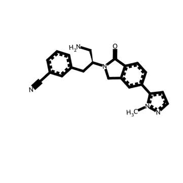 Cn1nccc1-c1ccc2c(c1)CN([C@H](CN)Cc1cccc(C#N)c1)C2=O